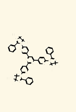 CC1(C)N=C(c2ccccc2)N(c2ccc(-c3cc(-c4ccc(N5C(c6ccccc6)=NC(C)(C)C5(C)C)nc4)nc(-c4ccc(N5C(c6ccccc6)=NC(C)(C)C5(C)C)nc4)n3)cn2)C1(C)C